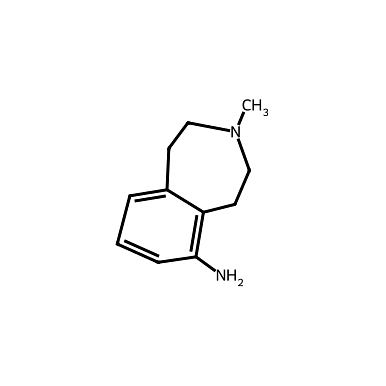 CN1CCc2cccc(N)c2CC1